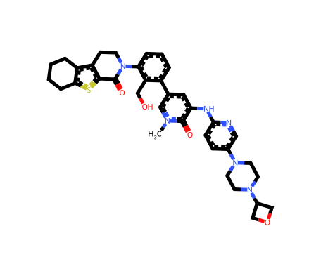 Cn1cc(-c2cccc(N3CCc4c(sc5c4CCCC5)C3=O)c2CO)cc(Nc2ccc(N3CCN(C4COC4)CC3)cn2)c1=O